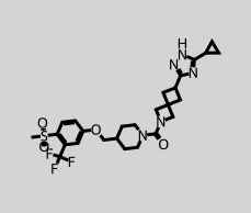 CS(=O)(=O)c1ccc(OCC2CCN(C(=O)N3CC4(CC(c5n[nH]c(C6CC6)n5)C4)C3)CC2)cc1C(F)(F)F